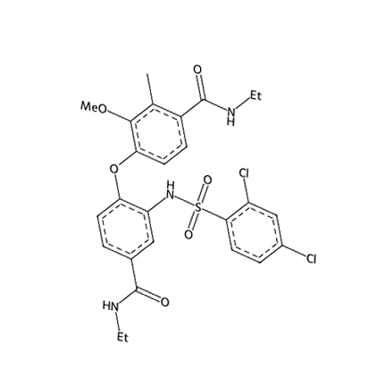 CCNC(=O)c1ccc(Oc2ccc(C(=O)NCC)c(C)c2OC)c(NS(=O)(=O)c2ccc(Cl)cc2Cl)c1